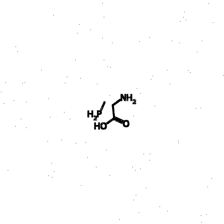 CP.NCC(=O)O